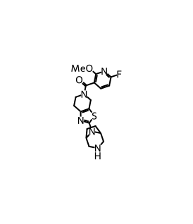 COc1nc(F)ccc1C(=O)N1CCc2nc(N3C4CCC3CNC4)sc2C1